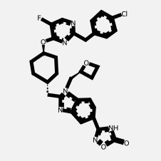 O=c1[nH]c(-c2ccc3c(c2)nc(C[C@H]2CC[C@H](Oc4nc(Cc5ccc(Cl)cc5)ncc4F)CC2)n3C[C@@H]2CCO2)no1